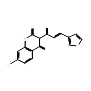 O=C(C=Cc1ccsc1)C1C(=O)Nc2cc(Cl)ccc2C1=O